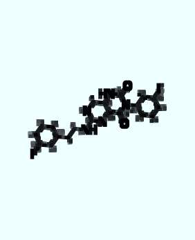 O=c1[nH]c2cnc(NCCc3cccc(F)c3)nc2c(=O)n1-c1cccc(F)c1